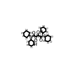 O=C([C@@H](O)[C@@H](O)C(=O)N(C1CCCCC1)C1CCCCC1)N(C1CCCCC1)C1CCCCC1